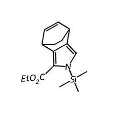 CCOC(=O)c1c2c(cn1[Si](C)(C)C)C1C=CC2CC1